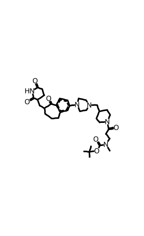 CN(CCC(=O)N1CCC(CN2CCN(c3ccc4c(c3)CCCC(CC3CCC(=O)NC3=O)C4=O)CC2)CC1)C(=O)OC(C)(C)C